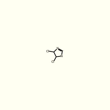 ClC1[N][C]=NC1Cl